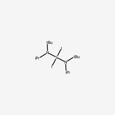 CC(C)N(C(C)(C)C)[Si](I)(I)N(C(C)C)C(C)(C)C